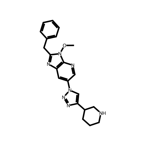 COn1c(Cc2ccccc2)nc2cc(-n3cc(C4CCCNC4)nn3)cnc21